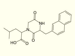 CC(C)CC(C(=O)O)N1CC(=O)NC(Cc2ccc3ccccc3c2)C1=O